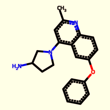 Cc1cc(N2CCC(N)C2)c2cc(Oc3ccccc3)ccc2n1